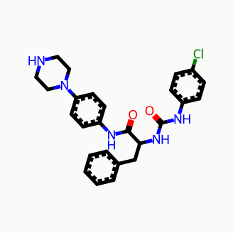 O=C(Nc1ccc(Cl)cc1)NC(Cc1ccccc1)C(=O)Nc1ccc(N2CCNCC2)cc1